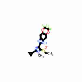 CC[S+]([O-])c1c(-c2nc3cc4c(cc3[nH]2)OC(F)(F)C(F)(F)O4)nc(C2CC2)n1C